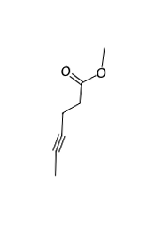 CC#CCCC(=O)OC